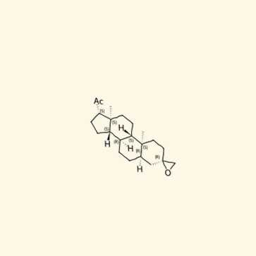 CC(=O)[C@H]1CC[C@H]2[C@@H]3CC[C@@H]4C[C@]5(CC[C@]4(C)[C@H]3CC[C@]12C)CO5